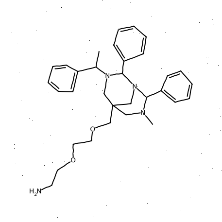 CC(c1ccccc1)N1CC2(COCCOCCN)CN(C)C(c3ccccc3)N(C2)C1c1ccccc1